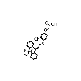 O=C(O)COc1ccc(SC/C=C(/c2ccccc2)c2ccccc2C(F)(F)CF)c(Cl)c1